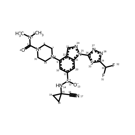 CN(C)C(=O)N1CCN(c2cc([S+]([O-])NC3(C#N)CC3)cc3c2cnn3-c2nnc(C(F)F)s2)CC1